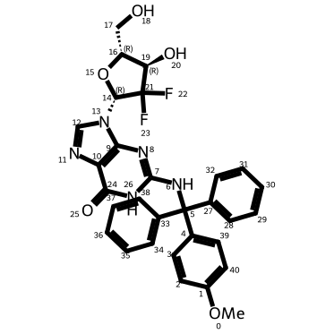 COc1ccc(C(Nc2nc3c(ncn3[C@@H]3O[C@H](CO)[C@@H](O)C3(F)F)c(=O)[nH]2)(c2ccccc2)c2ccccc2)cc1